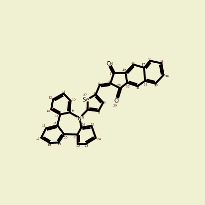 O=C1C(=Cc2ccc(N3c4ccccc4-c4ccccc4-c4ccccc43)[se]2)C(=O)c2cc3ccccc3cc21